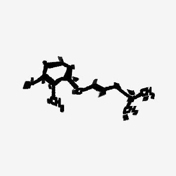 Cc1c(Br)cccc1OCCCN(C)C